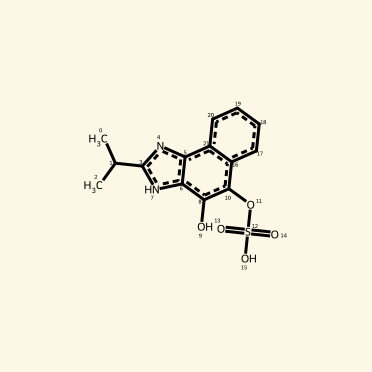 CC(C)c1nc2c([nH]1)c(O)c(OS(=O)(=O)O)c1ccccc12